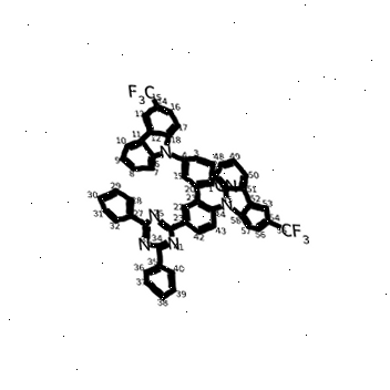 N#Cc1ccc(-n2c3ccccc3c3cc(C(F)(F)F)ccc32)cc1-c1cc(-c2nc(-c3ccccc3)nc(-c3ccccc3)n2)ccc1-n1c2ccccc2c2cc(C(F)(F)F)ccc21